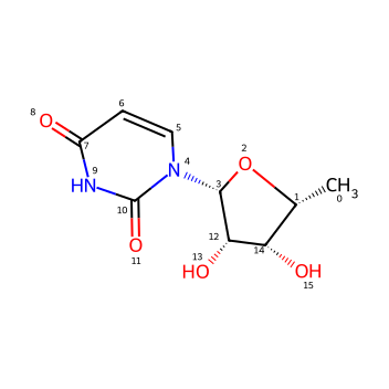 C[C@H]1O[C@@H](n2ccc(=O)[nH]c2=O)[C@@H](O)[C@H]1O